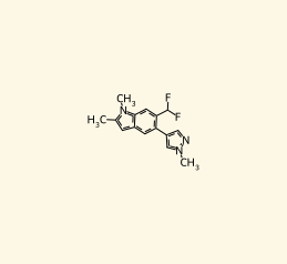 Cc1cc2cc(-c3cnn(C)c3)c(C(F)F)cc2n1C